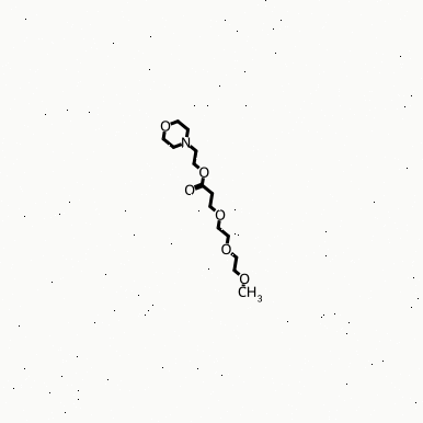 COCCOCCOCCC(=O)OCCN1CCOCC1